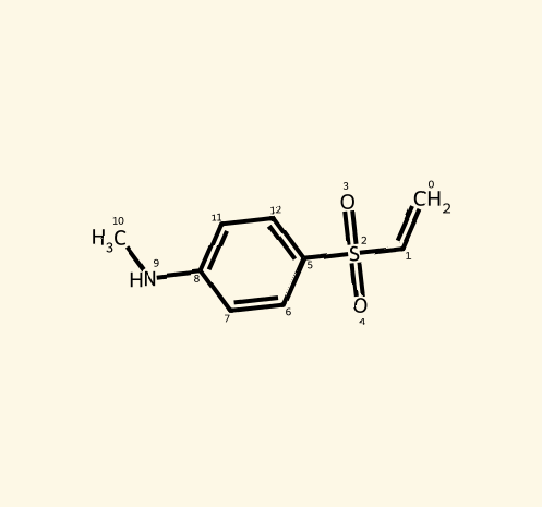 C=CS(=O)(=O)c1ccc(NC)cc1